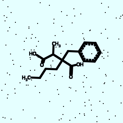 CCCCC(Cc1ccccc1)(C(=O)O)C(C)C(=O)O